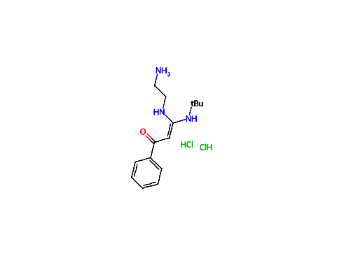 CC(C)(C)NC(=CC(=O)c1ccccc1)NCCN.Cl.Cl